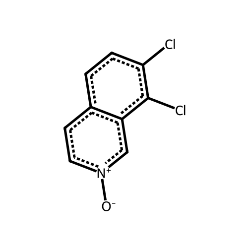 [O-][n+]1ccc2ccc(Cl)c(Cl)c2c1